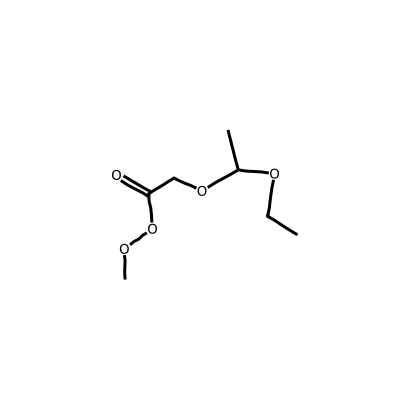 CCOC(C)OCC(=O)OOC